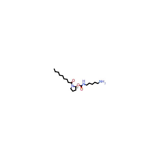 CCCCCCCCC(=O)N1CCC[C@@H]1OC(=O)NCCCCCN